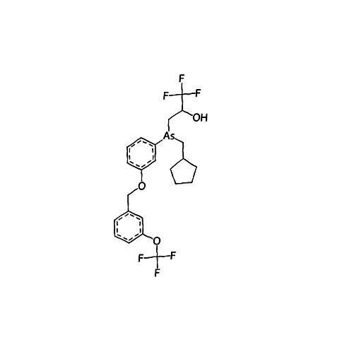 OC(C[As](CC1CCCC1)c1cccc(OCc2cccc(OC(F)(F)F)c2)c1)C(F)(F)F